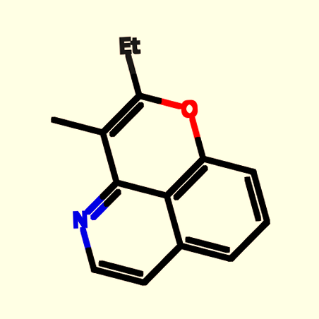 CCC1=C(C)c2nccc3cccc(c23)O1